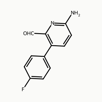 Nc1ccc(-c2ccc(F)cc2)c(C=O)n1